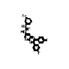 CC(=O)N1CCCC(NC(=O)Nc2cnc3nc(-c4ccc(F)cc4)c(-c4ccc(F)cc4)nc3c2)C1